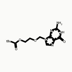 CC(C)(C)C(=O)OCCOCn1cnc2c(=O)[nH]c(N)nc21